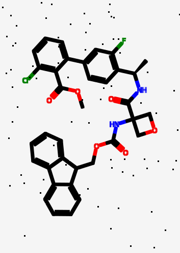 COC(=O)c1c(Cl)cccc1-c1ccc([C@@H](C)NC(=O)C2(NC(=O)OCC3c4ccccc4-c4ccccc43)COC2)c(F)c1